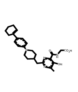 Cc1nc(CC2CCN(c3ccc(C4=CCCCC4)cc3)CC2)nc(C(=O)NCC(=O)O)c1O